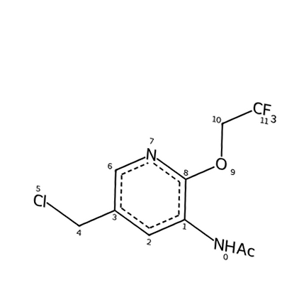 CC(=O)Nc1cc(CCl)cnc1OCC(F)(F)F